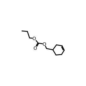 CCCOC(=O)OCC1CC=CCC1